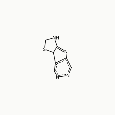 c1nncc2c1N=C1NCSC12